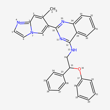 Cc1cc2nccn2cc1-c1nc(NCC(Oc2ccccc2)c2ccccc2)c2ccccc2n1